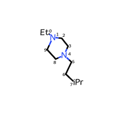 CCN1CCN(CCC(C)C)CC1